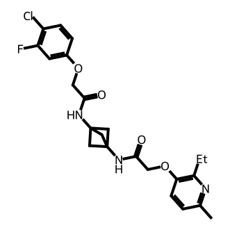 CCc1nc(C)ccc1OCC(=O)NC12CC(NC(=O)COc3ccc(Cl)c(F)c3)(C1)C2